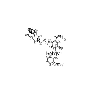 C#Cc1cccc(Nc2ncnc3cc(OC)c(OCCCN4CCC5(CC4)CCN(C)C5=O)cc23)c1